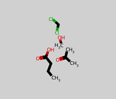 CC(C)=O.CCCC(=O)O.CO.ClCCl